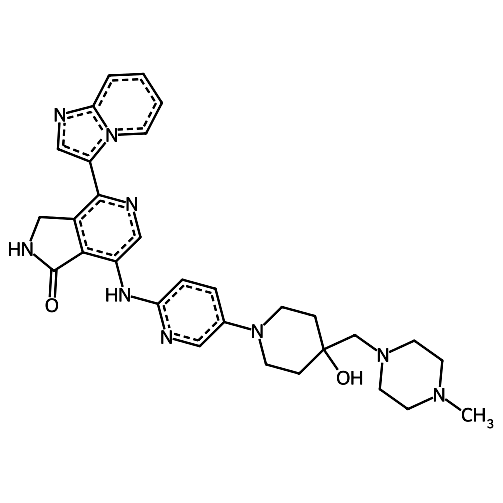 CN1CCN(CC2(O)CCN(c3ccc(Nc4cnc(-c5cnc6ccccn56)c5c4C(=O)NC5)nc3)CC2)CC1